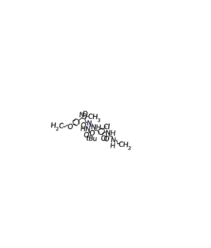 C=CCNCC(=O)Nc1c(Cl)cc(CN/C(=N/C(=O)c2c(-c3ccc(OCC=C)cc3)noc2C)NC(=O)OC(C)(C)C)cc1Cl